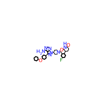 Nc1ncnc2c1c(-c1ccc(Oc3ccccc3)cc1)nn2C1CCN(Cc2cc(F)ccc2C2CCC(=O)NC2=O)CC1